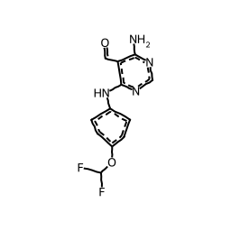 Nc1ncnc(Nc2ccc(OC(F)F)cc2)c1C=O